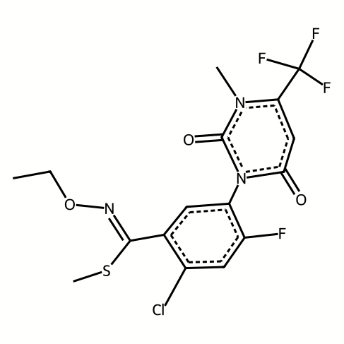 CCON=C(SC)c1cc(-n2c(=O)cc(C(F)(F)F)n(C)c2=O)c(F)cc1Cl